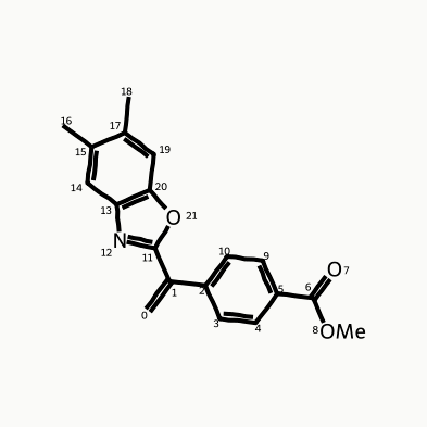 C=C(c1ccc(C(=O)OC)cc1)c1nc2cc(C)c(C)cc2o1